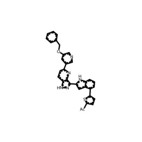 CC(=O)c1ccc(-c2cccc3[nH]c(-c4n[nH]c5ccc(-c6cncc(OCc7ccccc7)c6)nc45)cc23)s1